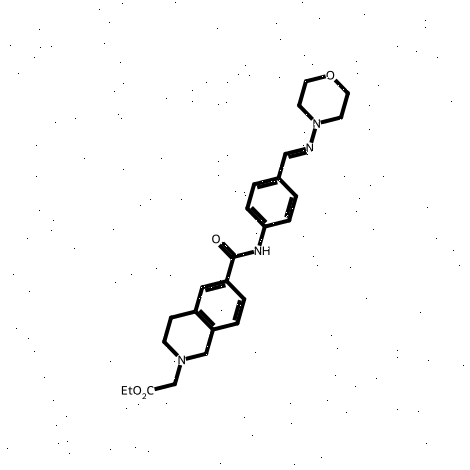 CCOC(=O)CN1CCc2cc(C(=O)Nc3ccc(/C=N/N4CCOCC4)cc3)ccc2C1